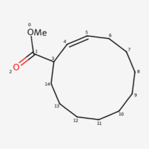 COC(=O)C1C=CCCCCCCCCC1